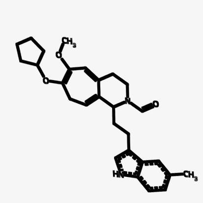 COC1=C(OC2CCCC2)CC=C2C(=C1)CCN(C=O)C2CCc1c[nH]c2ccc(C)cc12